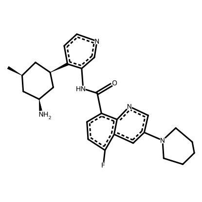 C[C@@H]1C[C@H](N)C[C@H](c2ccncc2NC(=O)c2ccc(F)c3cc(N4CCCCC4)cnc23)C1